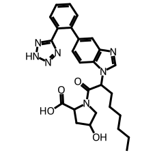 CCCCCCC(C(=O)N1CC(O)CC1C(=O)O)n1cnc2cc(-c3ccccc3-c3nn[nH]n3)ccc21